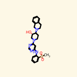 CS(=O)(=O)c1ccccc1Nc1cc(N2CCC(N3CCc4ccccc4C3)[C@@H](O)C2)ncn1